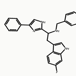 Fc1ccc2c(CC(NCc3ccccc3)c3nc(-c4ccccc4)c[nH]3)c[nH]c2c1